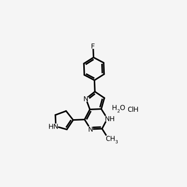 Cc1nc(C2=CNCC2)c2nc(-c3ccc(F)cc3)cc-2[nH]1.Cl.O